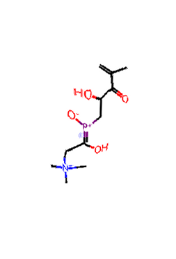 C=C(C)C(=O)C(O)C/[P+]([O-])=C(\O)C[N+](C)(C)C